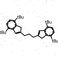 CC(C)(C)c1ccc(C(C)(C)C)c2c1[CH]C(CCCC1=Cc3c(C(C)(C)C)ccc(C(C)(C)C)c3[CH]1)=C2